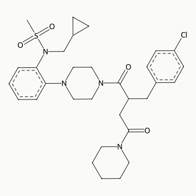 CS(=O)(=O)N(CC1CC1)c1ccccc1N1CCN(C(=O)C(CC(=O)N2CCCCC2)Cc2ccc(Cl)cc2)CC1